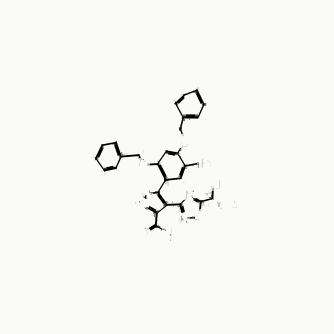 CCNC(=O)c1noc(-c2cc(C(C)C)c(OCc3ccccc3)cc2OCc2ccccc2)c1-c1noc([C@H](C)OC(C)=O)n1